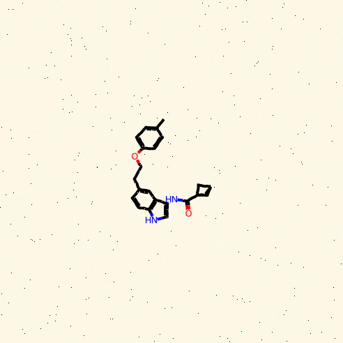 Cc1ccc(OCCc2ccc3[nH]cc(NC(=O)C45CC(C4)C5)c3c2)cc1